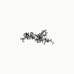 C[C@@H]1C[C@@H](NC(=O)c2cc(C3CC3)on2)CCN1S(=O)(=O)C(CCN)c1ccccc1